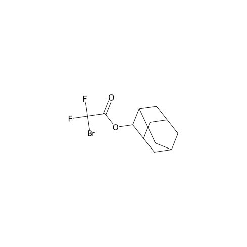 O=C(OC1C2CC3CC(C2)CC1C3)C(F)(F)Br